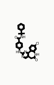 CC(C)(NC(=O)c1ccc(Nc2ncc3c(n2)-c2ccc(Cl)cc2NC(=O)C3)cc1)c1ccccc1